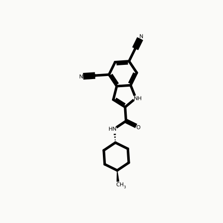 C[C@H]1CC[C@H](NC(=O)c2cc3c(C#N)cc(C#N)cc3[nH]2)CC1